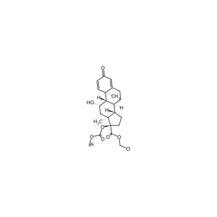 CC(C)OC(=O)O[C@]1(C(=O)OCCl)CC[C@H]2[C@@H]3CCC4=CC(=O)C=C[C@]4(C)[C@H]3[C@@H](O)C[C@@]21C